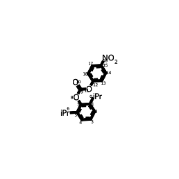 CC(C)c1cccc(C(C)C)c1OC(=O)Oc1ccc([N+](=O)[O-])cc1